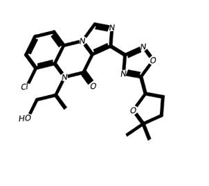 CC(CO)n1c(=O)c2c(-c3noc(C4CCC(C)(C)O4)n3)ncn2c2cccc(Cl)c21